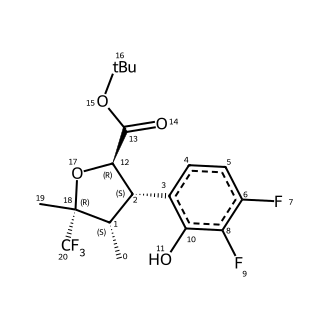 C[C@H]1[C@@H](c2ccc(F)c(F)c2O)[C@H](C(=O)OC(C)(C)C)O[C@@]1(C)C(F)(F)F